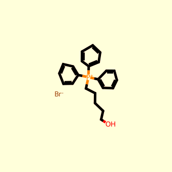 OCCCCC[P+](c1ccccc1)(c1ccccc1)c1ccccc1.[Br-]